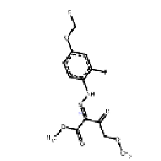 COCC(=O)/C(=N\Nc1ccc(OCF)cc1F)C(=O)OC